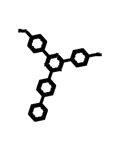 CCCC(C)c1ccc(-c2nc(-c3ccc(-c4ccccc4)cc3)nc(-c3ccc(C(C)(C)C)cc3)n2)cc1